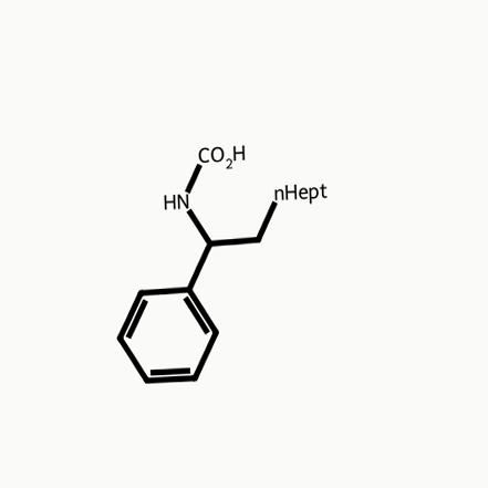 CCCCCCCCC(NC(=O)O)c1ccccc1